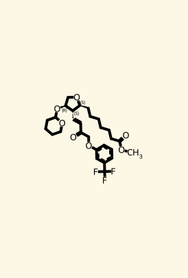 COC(=O)CCCCCC[C@@H]1OC[C@H](OC2CCCCO2)[C@H]1C=CC(=O)COc1cccc(C(F)(F)F)c1